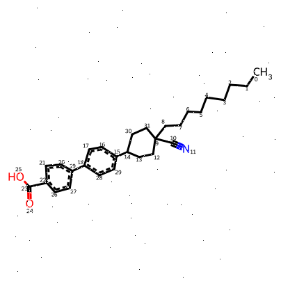 CCCCCCCCCC1(C#N)CCC(c2ccc(-c3ccc(C(=O)O)cc3)cc2)CC1